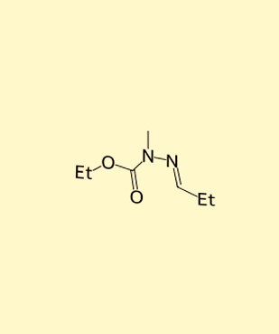 CC/C=N/N(C)C(=O)OCC